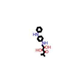 C=C(C)C(=O)C(O)C(O)CNc1ccc(Nc2ccccc2)cc1